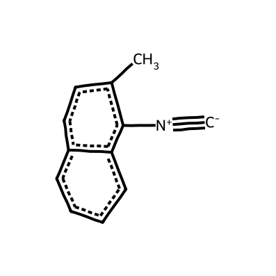 [C-]#[N+]c1c(C)ccc2ccccc12